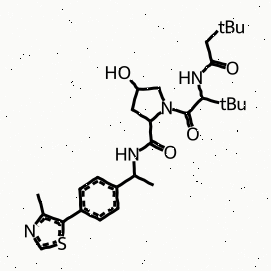 Cc1ncsc1-c1ccc(C(C)NC(=O)C2CC(O)CN2C(=O)C(NC(=O)CC(C)(C)C)C(C)(C)C)cc1